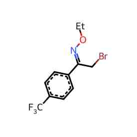 CCON=C(CBr)c1ccc(C(F)(F)F)cc1